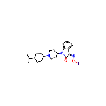 CC(C)C1CCC(N2CCC(N3C(=O)/C(=N\OI)c4ccccc43)CC2)CC1